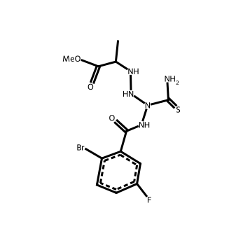 COC(=O)C(C)NNN(NC(=O)c1cc(F)ccc1Br)C(N)=S